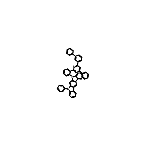 c1ccc(-c2cccc(-c3cc(-c4ccccc4)nc(-c4ccccc4-n4c5ccccc5c5cc6c7ccccc7n(-c7ccccc7)c6cc54)n3)c2)cc1